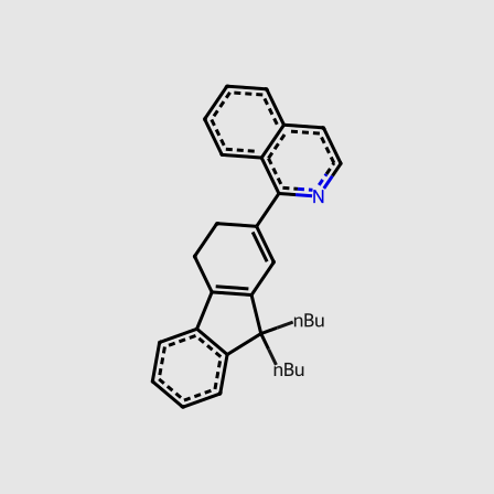 CCCCC1(CCCC)C2=C(CCC(c3nccc4ccccc34)=C2)c2ccccc21